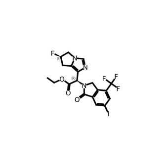 CCOC(=O)[C@@H](c1ncn2c1C[C@@H](F)C2)N1Cc2c(cc(I)cc2C(F)(F)F)C1=O